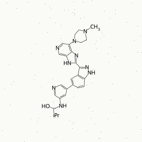 CC(C)C(O)Nc1cncc(-c2ccc3[nH]nc(-c4nc5c(N6CCN(C)CC6)cncc5[nH]4)c3c2)c1